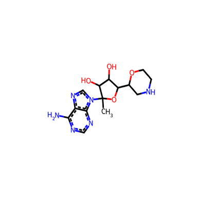 CC1(n2cnc3c(N)ncnc32)OC(C2CNCCO2)C(O)C1O